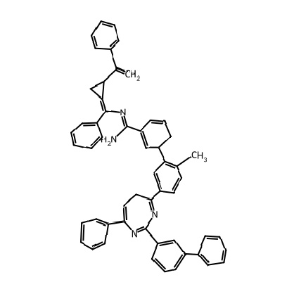 C=C(c1ccccc1)C1C/C1=C(/N=C(\N)C1=CC(c2cc(C3=NC(c4cccc(-c5ccccc5)c4)=NC(c4ccccc4)=CC3)ccc2C)CC=C1)c1ccccc1